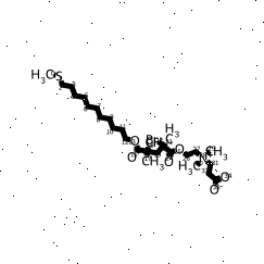 CSCCCCCCCCCCCOC(=O)C(C)(C)CC(C)(Br)C(=O)OCC[N+](C)(C)CCC(=O)[O-]